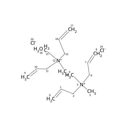 C=CC[N+](C)(C)CC=C.C=CC[N+](C)(C)CC=C.O.[Cl-].[Cl-]